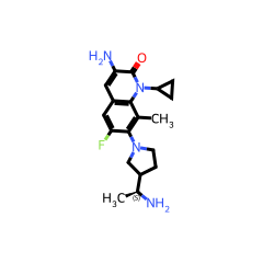 Cc1c(N2CCC([C@H](C)N)C2)c(F)cc2cc(N)c(=O)n(C3CC3)c12